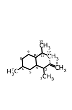 C=CC(C)C1CC(C)CCC1C(C)C